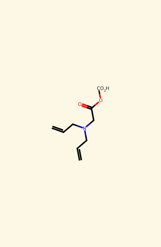 C=CCN(CC=C)CC(=O)OC(=O)O